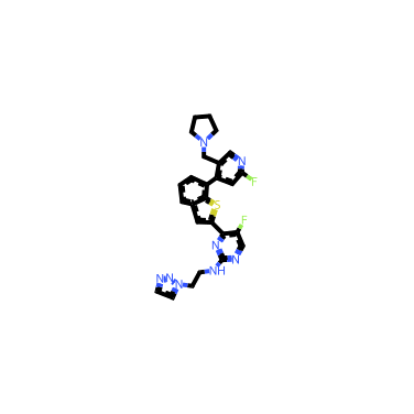 Fc1cc(-c2cccc3cc(-c4nc(NCCn5ccnn5)ncc4F)sc23)c(CN2CCCC2)cn1